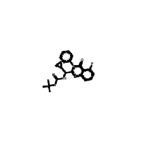 CC(C)(C)OC(=O)NC(c1nc2cccc(F)c2c(=O)n1-c1ccccc1)C1CC1